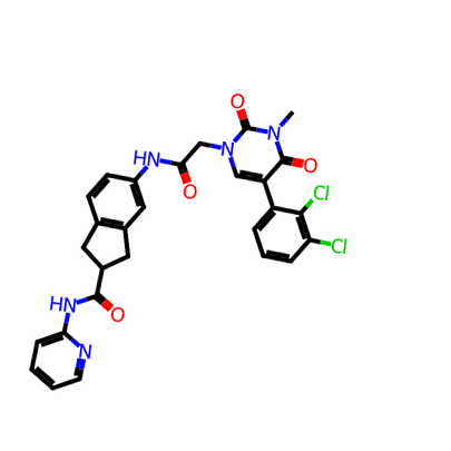 Cn1c(=O)c(-c2cccc(Cl)c2Cl)cn(CC(=O)Nc2ccc3c(c2)CC(C(=O)Nc2ccccn2)C3)c1=O